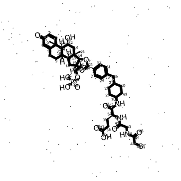 C[C@]12C=CC(=O)C=C1CC[C@@H]1[C@@H]2[C@@H](O)C[C@@]2(C)[C@H]1C[C@H]1O[C@@H](c3ccc(CC4CCC(NC(=O)[C@H](CCC(=O)O)NC(=O)CNC(=O)CBr)CC4)cc3)O[C@]12C(=O)COP(=O)(O)O